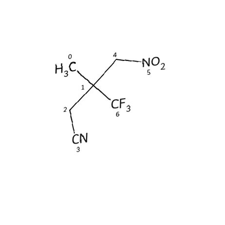 CC(CC#N)(C[N+](=O)[O-])C(F)(F)F